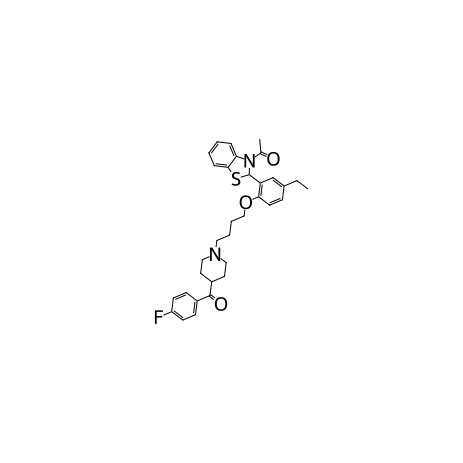 CCc1ccc(OCCCCN2CCC(C(=O)c3ccc(F)cc3)CC2)c(C2Sc3ccccc3N2C(C)=O)c1